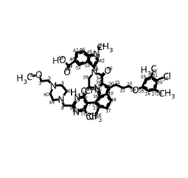 COCCN1CCN(Cc2nc(C)c(-c3c(Cl)ccc4c(CCCOc5cc(C)c(Cl)c(C)c5)c5n(c34)[C@H](C)CN(c3cn(C)c4ccc(C(=O)O)cc34)C5=O)c(C)n2)CC1